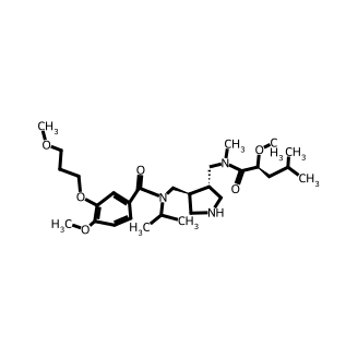 COCCCOc1cc(C(=O)N(C[C@@H]2CNC[C@H]2CN(C)C(=O)[C@H](CC(C)C)OC)C(C)C)ccc1OC